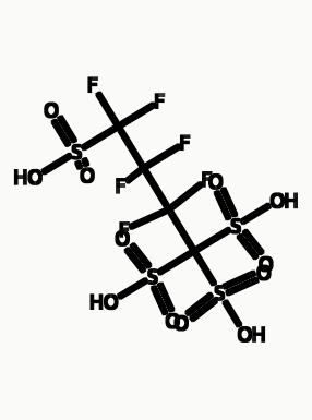 O=S(=O)(O)C(F)(F)C(F)(F)C(F)(F)C(S(=O)(=O)O)(S(=O)(=O)O)S(=O)(=O)O